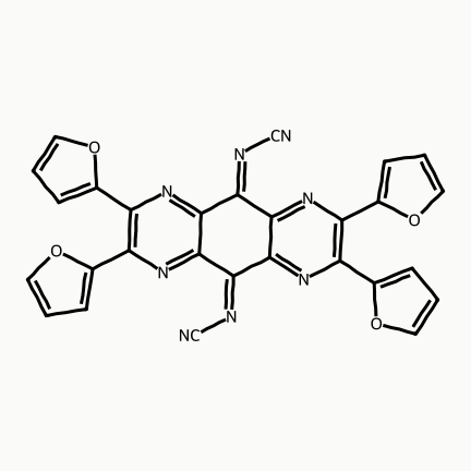 N#CN=C1c2nc(-c3ccco3)c(-c3ccco3)nc2C(=NC#N)c2nc(-c3ccco3)c(-c3ccco3)nc21